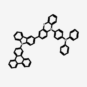 c1ccc(N(c2ccccc2)c2ccc(N3c4ccccc4Sc4cc(-c5ccc6c(c5)c5ccccc5n6-c5ccc6c7ccccc7c7ccccc7c6c5)ccc43)cc2)cc1